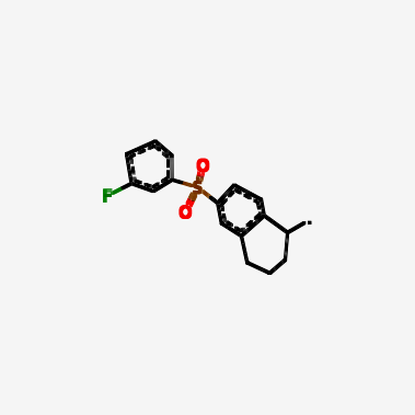 [CH2]C1CCCc2cc(S(=O)(=O)c3cccc(F)c3)ccc21